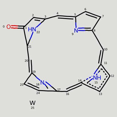 O=C1C=C2C=C3C=CC(=N3)C=c3ccc([nH]3)=CC3=NC(=CC1N2)C=C3.[W]